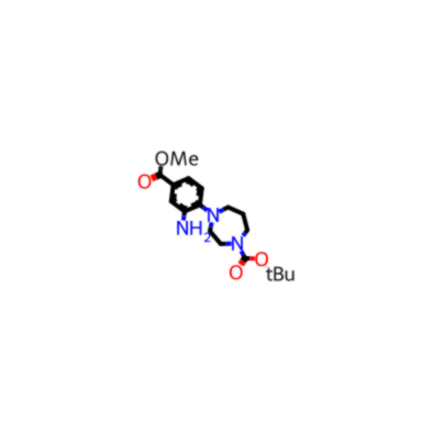 COC(=O)c1ccc(N2CCCN(C(=O)OC(C)(C)C)CC2)c(N)c1